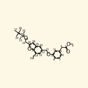 COC(=O)Cc1cccc(OCc2cc(I)c3oc(CO[Si](C)(C)C(C)(C)C)cc3c2)c1